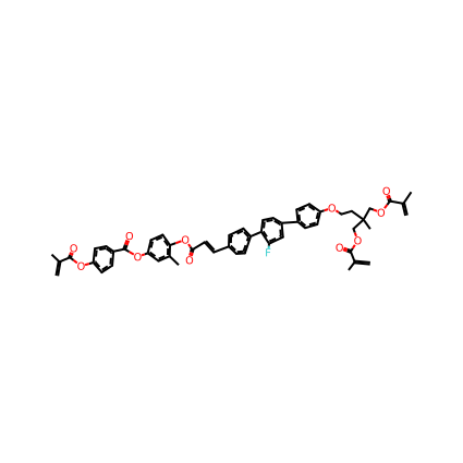 C=C(C)C(=O)OCC(C)(CCOc1ccc(-c2ccc(-c3ccc(/C=C/C(=O)Oc4ccc(OC(=O)c5ccc(OC(=O)C(=C)C)cc5)cc4C)cc3)c(F)c2)cc1)COC(=O)C(=C)C